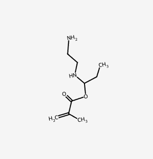 C=C(C)C(=O)OC(CC)NCCN